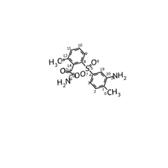 Cc1ccc(S(=O)(=O)c2cccc(C)c2S(N)(=O)=O)cc1N